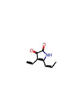 C=CC1=C(/C=C\C)NC(=O)C1=O